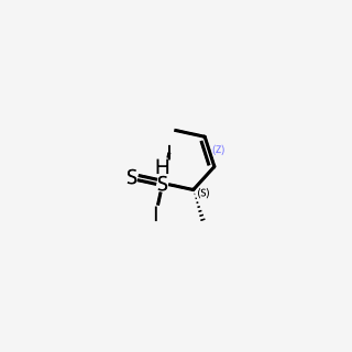 C/C=C\[C@H](C)[SH](=S)(I)I